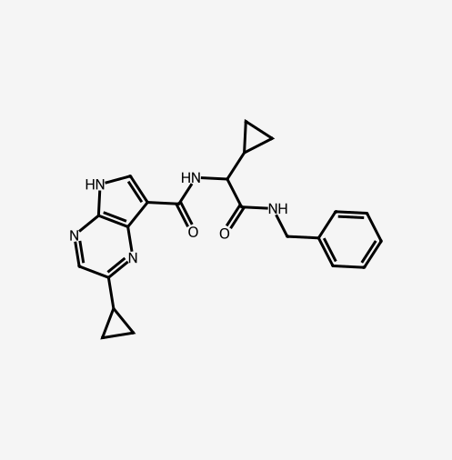 O=C(NC(C(=O)NCc1ccccc1)C1CC1)c1c[nH]c2ncc(C3CC3)nc12